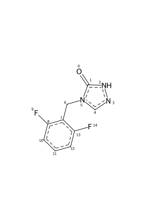 O=c1[nH]ncn1Cc1c(F)cccc1F